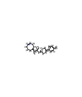 CN(C(=O)CN1CCN(c2ccc(F)cn2)CC1)C1CC/C=C\CCC1